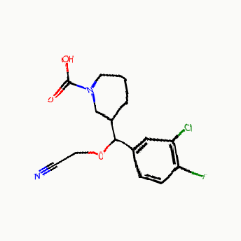 N#CCOC(c1ccc(F)c(Cl)c1)C1CCCN(C(=O)O)C1